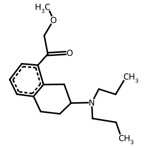 CCCN(CCC)C1CCc2cccc(C(=O)COC)c2C1